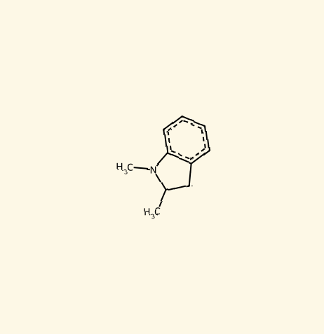 CC1[CH]c2ccccc2N1C